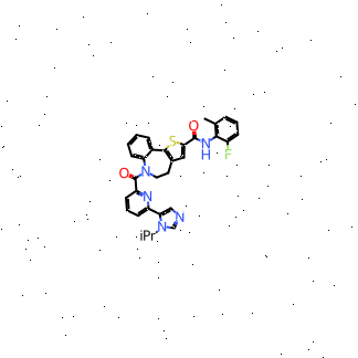 Cc1cccc(F)c1NC(=O)c1cc2c(s1)-c1ccccc1N(C(=O)c1cccc(-c3cncn3C(C)C)n1)CC2